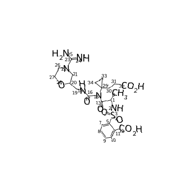 CC(NS(=O)(=O)c1ccccc1C(=O)O)C(=O)N(C(=O)NCC1CN(C(=N)N)CCO1)C1(CCC(=O)O)CC1